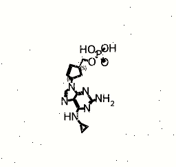 Nc1nc(NC2CC2)c2ncn([C@H]3C=C[C@@H](COP(=O)(O)O)C3)c2n1